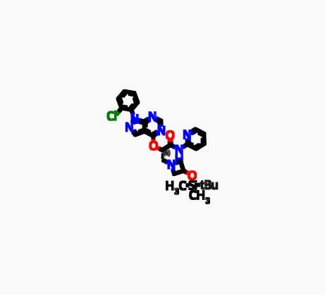 CC(C)(C)[Si](C)(C)OC1CN(C[C@H](Oc2ncnc3c2cnn3-c2ccccc2Cl)C(=O)Nc2ccccn2)C1